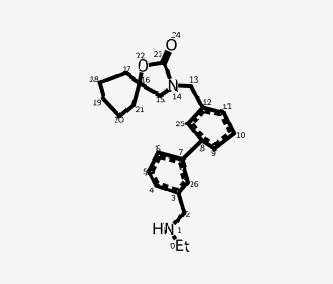 CCNCc1cccc(-c2cccc(CN3CC4(CCCCC4)OC3=O)c2)c1